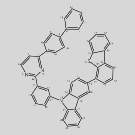 c1ccc(-c2ccc(-c3ccnc(-c4cccc(-n5c6ccccc6c6cc(-c7cccc8c7sc7ccccc78)ccc65)c4)n3)cc2)cc1